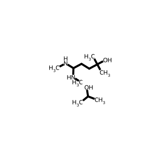 CC(C)O.CNC(CCC(C)(C)O)NC